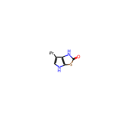 CC(C)c1c[nH]c2sc(=O)[nH]c12